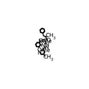 COc1cccc(OC)c1-n1c(NC(=O)[C@H](C)Cc2ccccc2)nnc1-c1cncc(C)c1